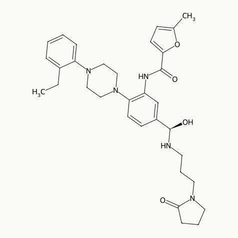 CCc1ccccc1N1CCN(c2ccc([C@@H](O)NCCCN3CCCC3=O)cc2NC(=O)c2ccc(C)o2)CC1